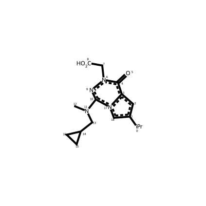 CC(C)c1cc2c(=O)n(CC(=O)O)nc(N(C)CC3CC3)n2c1